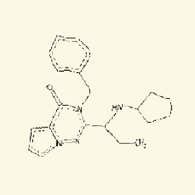 CCC(NC1CCCC1)c1nn2cccc2c(=O)n1Cc1ccccc1